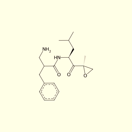 CC(C)C[C@H](NC(=O)C(CN)Cc1ccccc1)C(=O)[C@@]1(C)CO1